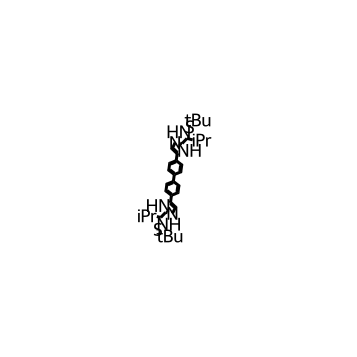 CC(C)C(NSC(C)(C)C)c1ncc(-c2ccc(-c3ccc(-c4cnc(C(NSC(C)(C)C)C(C)C)[nH]4)cc3)cc2)[nH]1